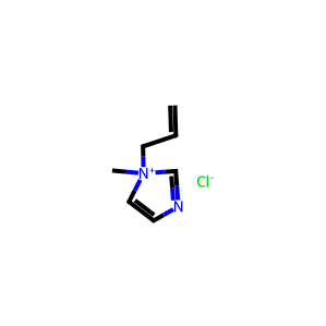 C=CC[N+]1(C)C=CN=C1.[Cl-]